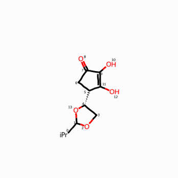 CC(C)C1OC[C@@H](C2CC(=O)C(O)=C2O)O1